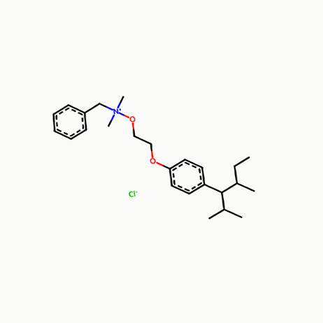 CCC(C)C(c1ccc(OCCO[N+](C)(C)Cc2ccccc2)cc1)C(C)C.[Cl-]